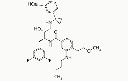 C#Cc1cccc(C2(NC[C@@H](O)[C@H](Cc3cc(F)cc(F)c3)NC(=O)c3ccc(CCOC)c(NCCCC)c3)CC2)c1